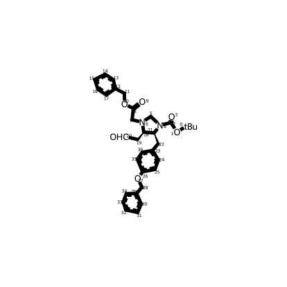 CC(C)(C)OC(=O)N1CN(CC(=O)OCc2ccccc2)[C@H](CC=O)[C@@H]1Cc1ccc(OCc2ccccc2)cc1